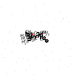 C=C/C=C\c1c(/C=C(C=C)/C(C=C)=C/c2c(/C=C\C=C)c(C=C)n(C(=C/C)/C(=C\C=C/C)c3ccc(-c4ccccc4)cc3)c2C=C)c(C=C)n(C(/C=C\C=C/C)=C/C)c1C=C